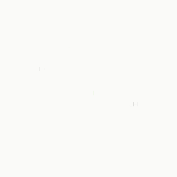 CCCCCC(F)CCF.CCCCCCC(F)CF